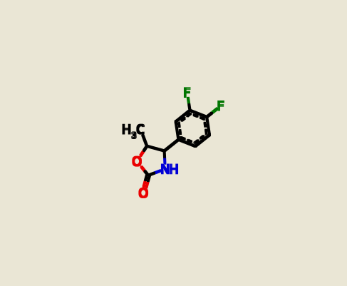 CC1OC(=O)NC1c1ccc(F)c(F)c1